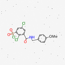 COc1ccc(CNC(=O)c2cc(Cl)cc(S(=O)(=O)Cl)c2Cl)cc1